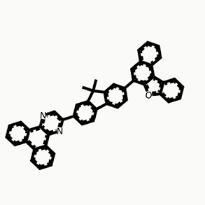 CC1(C)c2cc(-c3cnc4c5ccccc5c5ccccc5c4n3)ccc2-c2ccc(-c3cc4ccccc4c4c3oc3ccccc34)cc21